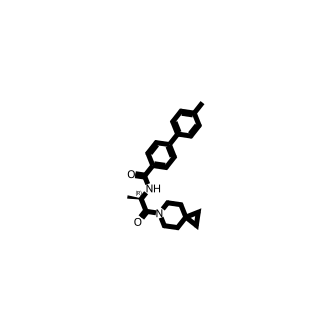 Cc1ccc(-c2ccc(C(=O)N[C@H](C)C(=O)N3CCC4(CC3)CC4)cc2)cc1